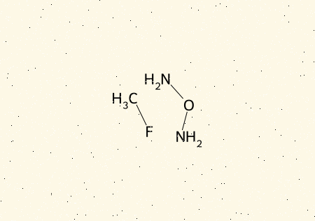 CF.NON